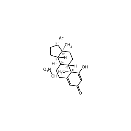 CC(=O)[C@H]1CC[C@H]2[C@@H]3CCC4=CC(=O)C=C(O)[C@]4(C)[C@H]3CC[C@]12C.O=[N+]([O-])O